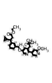 CCOC(=O)CC(c1cccc(COc2cnc(-c3ccnc(OC)c3)c(CC(C)(C)C)c2)c1)C1CC1